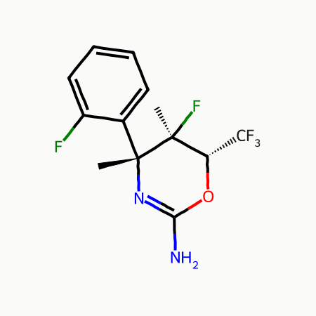 C[C@]1(F)[C@H](C(F)(F)F)OC(N)=N[C@]1(C)c1ccccc1F